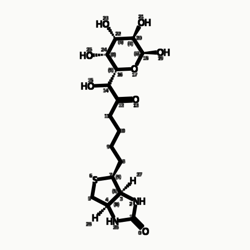 O=C1N[C@H]2[C@H](CS[C@H]2CCCCC(=O)C(O)[C@H]2O[C@H](O)[C@H](O)[C@@H](O)[C@H]2O)N1